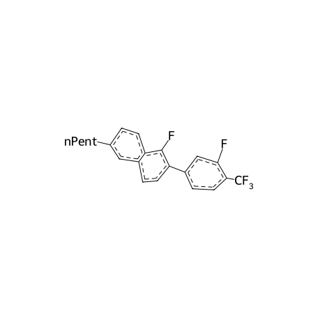 CCCCCc1ccc2c(F)c(-c3ccc(C(F)(F)F)c(F)c3)ccc2c1